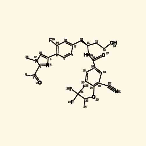 CC(=O)c1nc(-c2ccc(C[C@@H](CCO)NC(=O)c3ccc(OC(C)C(F)(F)F)c(C#N)c3)cc2F)cn1C